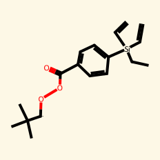 C=C[Si](C=C)(CC)c1ccc(C(=O)OO[CH]C(C)(C)C)cc1